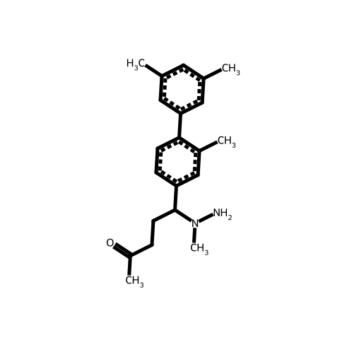 CC(=O)CCC(c1ccc(-c2cc(C)cc(C)c2)c(C)c1)N(C)N